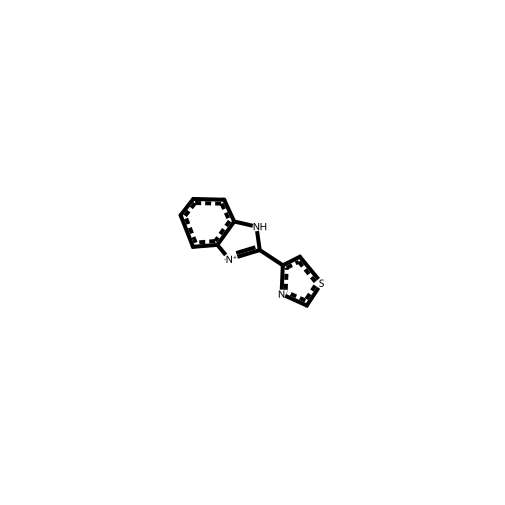 c1ccc2c(c1)[N+]=C(c1cscn1)N2